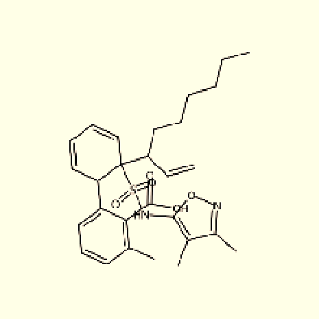 C=CC(CCCCCC)C1(S(=O)(=O)Nc2onc(C)c2C)C=CC=CC1c1cccc(C)c1C(=O)O